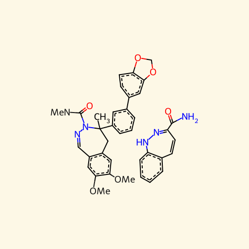 CNC(=O)N1N=Cc2cc(OC)c(OC)cc2CC1(C)c1cccc(-c2ccc3c(c2)OCO3)c1.NC(=O)C1=NNc2ccccc2C=C1